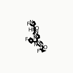 O=C(Nc1cn2nc(-c3c(-c4ccc(F)cc4)nc4n3CCN(C(=O)C3(CF)CC3)C4)ccc2n1)c1ccnc(F)c1